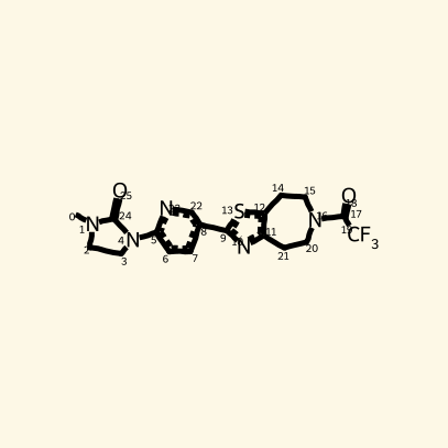 CN1CCN(c2ccc(-c3nc4c(s3)CCN(C(=O)C(F)(F)F)CC4)cn2)C1=O